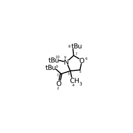 CC(C)(C)C(=O)C1(C)COC(C(C)(C)C)N1C(C)(C)C